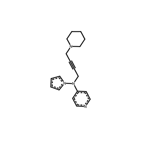 C(#CCN(c1ccncc1)n1cccc1)CN1CCCCC1